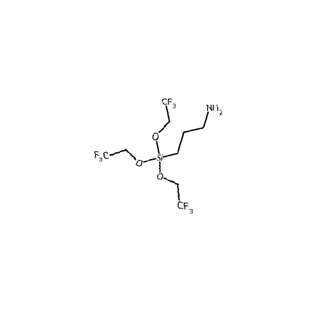 NCCC[Si](OCC(F)(F)F)(OCC(F)(F)F)OCC(F)(F)F